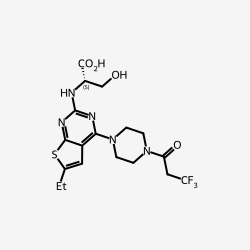 CCc1cc2c(N3CCN(C(=O)CC(F)(F)F)CC3)nc(N[C@@H](CO)C(=O)O)nc2s1